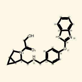 O=C(CO)N1CC2CC2C1CNCc1ccc(Oc2nc3ccccc3s2)cc1